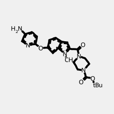 Cn1c(C(=O)N2CCN(C(=O)OC(C)(C)C)CC2)cc2ccc(Oc3ccc(N)cn3)cc21